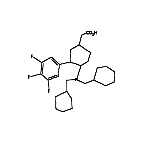 O=C(O)CC1CCC(N(CC2CCCCC2)CC2CCCCC2)C(c2cc(F)c(F)c(F)c2)C1